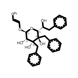 CCCC=CO[C@H]1O[C@H](C(O)Cc2ccccc2)[C@](O)(Cc2ccccc2)[C@@](O)(Cc2ccccc2)[C@@H]1O